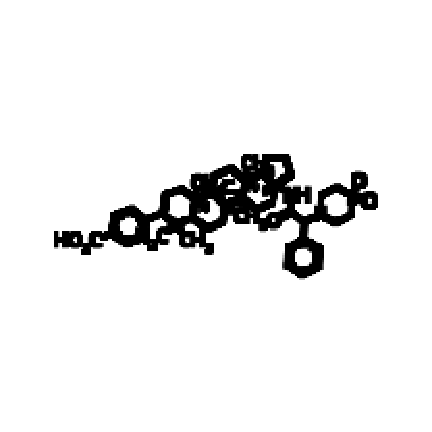 CC1(C)C(c2ccc(C(=O)O)cc2)=CC[C@@]2(C)C1CC[C@]1(C)C2CC[C@]2(C)C3CCC[C@]3(NC(=O)C(c3ccccc3)N3CCS(=O)(=O)CC3)CC[C@]21C